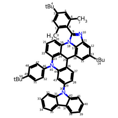 Cc1cc(C(C)(C)C)cc(C)c1-c1nc2cc(C(C)(C)C)cc3c2n1-c1cccc2c1C3c1ccc(-n3c4ccccc4c4ccccc43)cc1N2c1ccc(C(C)(C)C)cc1